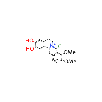 COc1ccc2cc3[n+](c(Cl)c2c1OC)CCc1cc(O)c(O)cc1-3